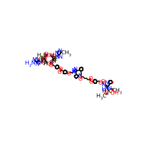 B[P@]1(=O)OC[C@H]2O[C@@H](n3cnc4c(C)ncnc43)[C@H](F)[C@@H]2O[P@](=O)(SCc2ccc(OC(=O)c3ccc(OCCn4nnc5c4-c4ccccc4N(C(=O)CCCCC(=O)Oc4ccc(COC(=O)Nc6nc7ccccc7c7c6nc(COCC)n7CC(C)(C)O)cc4)Cc4ccccc4-5)cc3)cc2)OC[C@H]2O[C@@H](n3cnc4c(N)ncnc43)[C@H](F)[C@@H]2O1